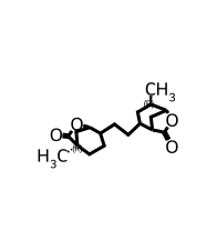 C[C@@H]1CC(CCC2CC[C@]3(C)CC2OC3=O)C2CC1OC2=O